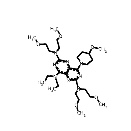 CCN(CC)c1nc(N(CCOC)CCOC)nc2c(N3CCC(OC)CC3)nc(N(CCOC)CCOC)nc12